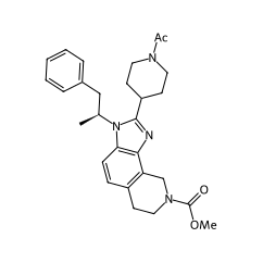 COC(=O)N1CCc2ccc3c(nc(C4CCN(C(C)=O)CC4)n3[C@@H](C)Cc3ccccc3)c2C1